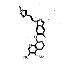 COc1c(C#N)cnc2c1CCCC2Oc1cc2c(cnn2C=Cc2cnn(C)c2)cc1C